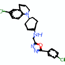 Clc1ccc(-c2nnc(CN[C@H]3CC[C@H](N4CC=Cc5cc(Cl)ccc54)CC3)o2)cc1